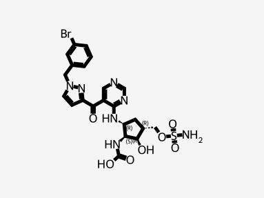 NS(=O)(=O)OC[C@H]1C[C@@H](Nc2ncncc2C(=O)c2ccn(Cc3cccc(Br)c3)n2)[C@H](NC(=O)O)[C@@H]1O